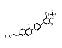 CCCc1ccc2c(F)c(-c3ccc(-c4cc(F)c(OC(F)(F)F)c(F)c4)cc3)ccc2c1